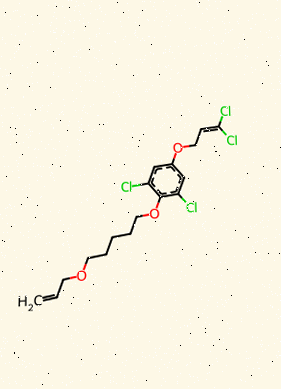 C=CCOCCCCCOc1c(Cl)cc(OCC=C(Cl)Cl)cc1Cl